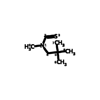 CN([C]=S)CC(C)(C)C